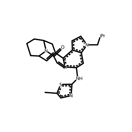 C=CC(=O)N1C2C=C(c3nc(Nc4ncc(C)s4)cc4c3ccn4CC(C)C)CC1CCC2